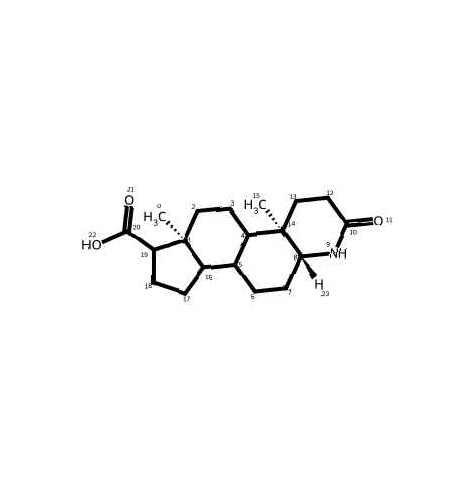 C[C@]12CCC3C(CC[C@H]4NC(=O)CC[C@]34C)C1CCC2C(=O)O